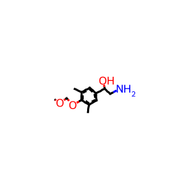 COCOc1c(C)cc(C(O)CN)cc1C